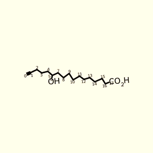 C#CCCCC(O)CCCCCCCCCCC(=O)O